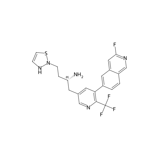 N[C@@H](CCN1NC=CS1)Cc1cnc(C(F)(F)F)c(-c2ccc3cnc(F)cc3c2)c1